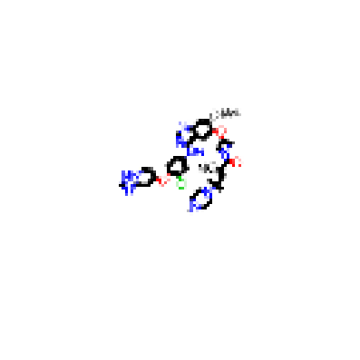 COc1cc2ncnc(Nc3ccc(Oc4ccn5ncnc5c4)c(Cl)c3)c2cc1OC1CN(C(=O)/C(C#N)=C/C(C)(C)N2CCN(C)CC2)C1